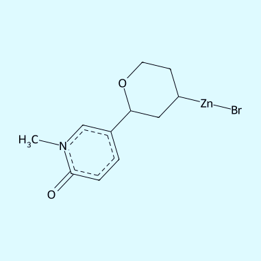 Cn1cc(C2C[CH]([Zn][Br])CCO2)ccc1=O